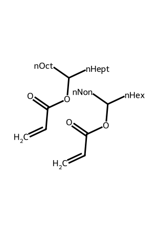 C=CC(=O)OC(CCCCCC)CCCCCCCCC.C=CC(=O)OC(CCCCCCC)CCCCCCCC